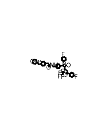 C[N+]1(Cc2ccc(CC(=O)NCc3ccc(C4C(CCC(OC(=O)C(F)(F)F)c5ccc(F)cc5)C(=O)N4c4ccc(F)cc4)cc3)cc2)CCOCC1